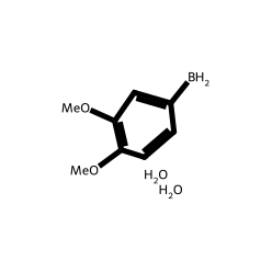 Bc1ccc(OC)c(OC)c1.O.O